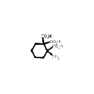 CC1(C(=O)O)CCCCC1(C(=O)O)C(=O)O